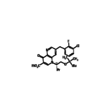 CCOC(=O)c1cn([C@H](CO[Si](C)(C)C(C)(C)C)C(C)C)c2cc(Cc3cccc(Cl)c3F)cnc2c1=O